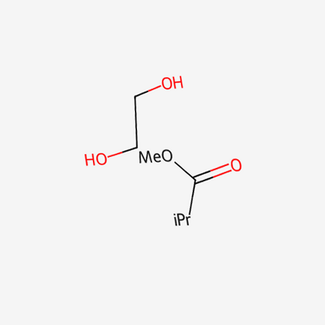 COC(=O)C(C)C.OCCO